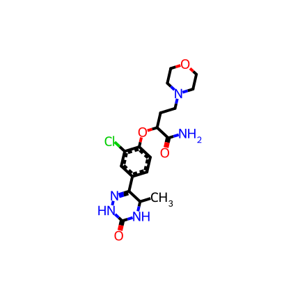 CC1NC(=O)NN=C1c1ccc(OC(CCN2CCOCC2)C(N)=O)c(Cl)c1